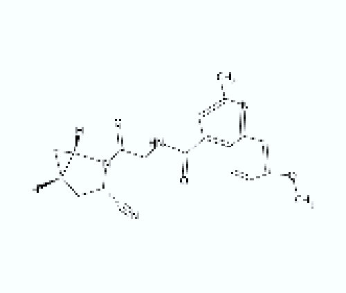 COc1ccc2c(C(=O)NCC(=O)N3[C@H](C#N)C[C@@H]4C[C@@H]43)cc(C)nc2c1